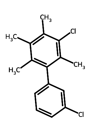 Cc1c(C)c(Cl)c(C)c(-c2cccc(Cl)c2)c1C